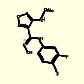 CONc1nonc1/C(=N/O)Nc1ccc(F)c(F)c1